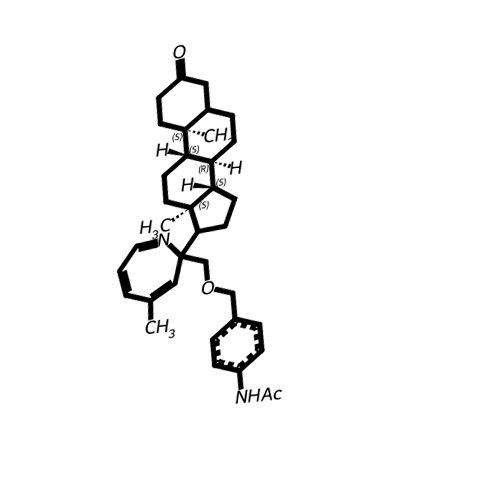 CC(=O)Nc1ccc(COCC2(C3CC[C@H]4[C@@H]5CCC6CC(=O)CC[C@]6(C)[C@H]5CC[C@]34C)C=C(C)C=CC=N2)cc1